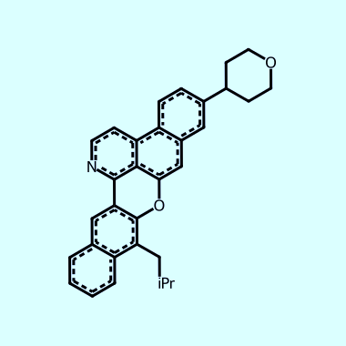 CC(C)Cc1c2c(cc3ccccc13)-c1nccc3c1c(cc1cc(C4CCOCC4)ccc13)O2